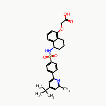 Cc1cc(C(C)(C)C)cc(-c2ccc(S(=O)(=O)N[C@@H]3CCCc4c(OCC(=O)O)cccc43)cc2)n1